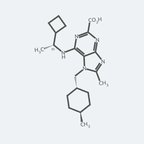 Cc1nc2nc(C(=O)O)nc(N[C@H](C)C3CCC3)c2n1C[C@H]1CC[C@H](C)CC1